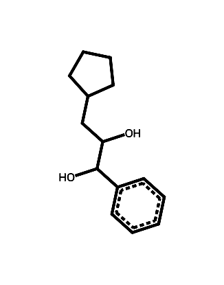 OC(CC1CCCC1)C(O)c1ccccc1